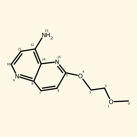 COCCOc1ccc2nccc(N)c2n1